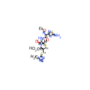 CCON=C(C(=O)NC1C(=O)N2C(C(=O)O)=C(CSc3nnnn3C)CS[C@@H]12)c1nsc(N)n1